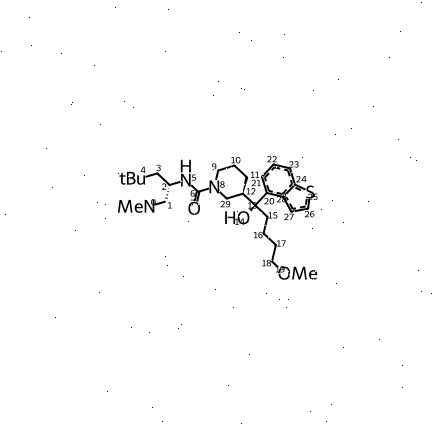 CNC[C@H](CC(C)(C)C)NC(=O)N1CCC[C@@H]([C@@](O)(CCCCOC)c2cccc3sccc23)C1